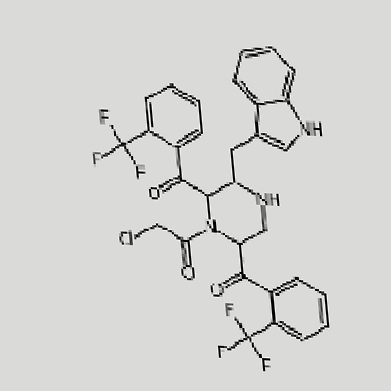 O=C(c1ccccc1C(F)(F)F)C1CNC(Cc2c[nH]c3ccccc23)C(C(=O)c2ccccc2C(F)(F)F)N1C(=O)CCl